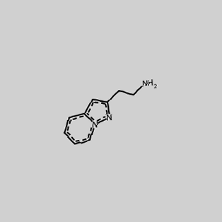 NCCc1cc2ccccn2n1